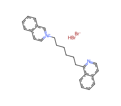 Br.[Br-].c1ccc2c[n+](CCCCCCc3nccc4ccccc34)ccc2c1